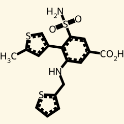 Cc1cc(-c2c(NCc3cccs3)cc(C(=O)O)cc2S(N)(=O)=O)cs1